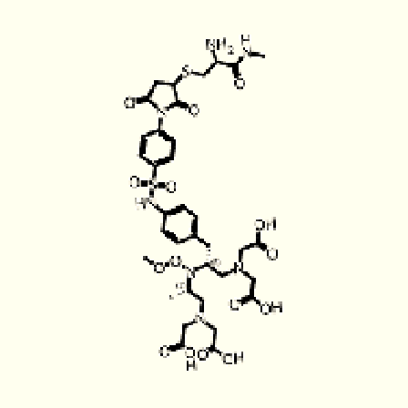 CNC(=O)C(N)CSC1CC(=O)N(c2ccc(S(=O)(=O)Nc3ccc(C[C@H](CN(CC(=O)O)CC(=O)O)N(OOC)[C@@H](C)CN(CC(=O)O)CC(=O)O)cc3)cc2)C1=O